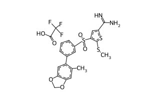 CSc1sc(C(=N)N)cc1S(=O)(=O)c1cccc(-c2cc3c(cc2C)OCO3)c1.O=C(O)C(F)(F)F